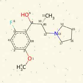 COc1ccc(F)c(C(O)[C@H](C)CN2CCCC2)c1